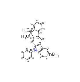 Bc1ccc2c(c1)c1c(n2-c2ccccc2)C=C2C(C1)c1ccccc1C2(C)C